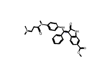 COC(=O)c1ccc2c(c1)NC(=O)/C2=C(\Nc1ccc(N(C)C(=O)CCN(C)C)cc1)c1ccccc1